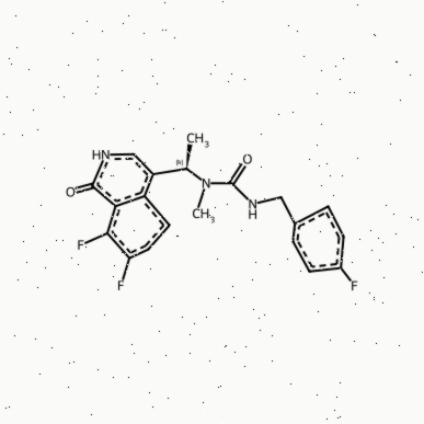 C[C@H](c1c[nH]c(=O)c2c(F)c(F)ccc12)N(C)C(=O)NCc1ccc(F)cc1